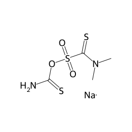 CN(C)C(=S)S(=O)(=O)OC(N)=S.[Na]